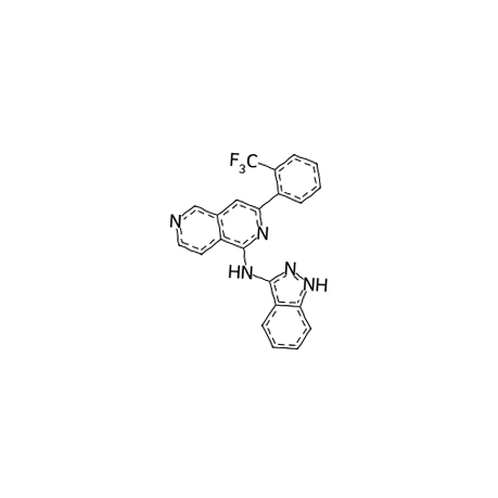 FC(F)(F)c1ccccc1-c1cc2cnccc2c(Nc2n[nH]c3ccccc23)n1